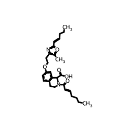 CCCC=Cc1nc(CCOc2ccc3c(c2)C(C(=O)O)N(C(=O)C=CCCCC)CC3)c(C)o1